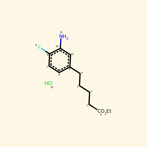 CCOC(=O)CCCCc1ccc(F)c(N)c1.Cl